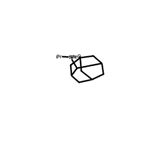 COC12CC3CC(C1)C(NC(C)C)C(C3)C2